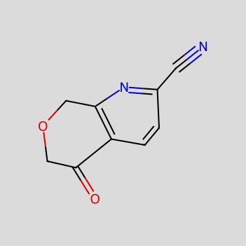 N#Cc1ccc2c(n1)COCC2=O